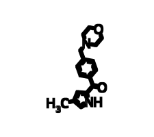 Cc1c[nH]c(C(=O)c2ccc(CN3CCOCC3)cc2)c1